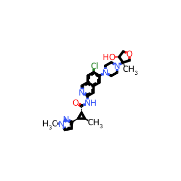 C[C@@H]1[C@@H](C(=O)Nc2cc3cc(N4CCN([C@]5(C)COC[C@@H]5O)CC4)c(Cl)cc3cn2)[C@@H]1c1ccn(C)n1